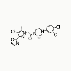 COc1cc(N2CCN(C(=O)Cn3nc(-c4ncco4)c(Cl)c3C)[C@@H](C)C2)ccc1Cl